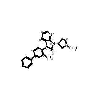 Cc1cc(-c2ccccc2)ccc1-n1c(=O)n([C@@H]2CCN(C(=O)O)C2)c2ncccc21